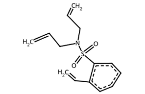 C=CCN(CC=C)S(=O)(=O)c1ccccc1C=C